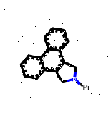 CC(C)N1Cc2c(c3ccccc3c3ccccc23)C1